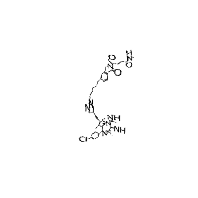 CNC(=O)CCC(C=O)N1Cc2cc(CCCCCn3cc(C#Cc4sc5c(c4C)C(c4ccc(Cl)cc4)=N[C@@H](C)C(=N)N5C(C)=N)cn3)ccc2C1=O